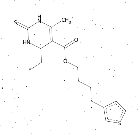 CC1=C(C(=O)OCCCCc2ccsc2)C(CF)NC(=S)N1